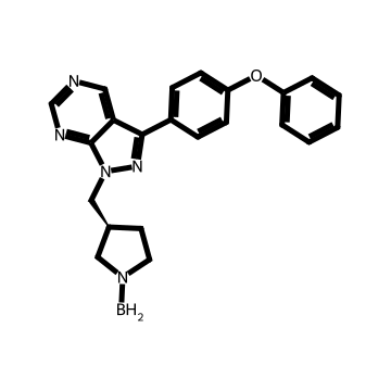 BN1CC[C@H](Cn2nc(-c3ccc(Oc4ccccc4)cc3)c3cncnc32)C1